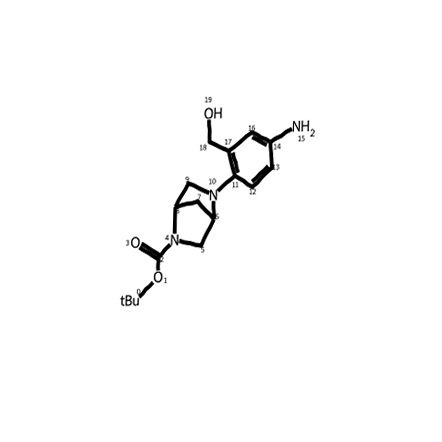 CC(C)(C)OC(=O)N1CC2CC1CN2c1ccc(N)cc1CO